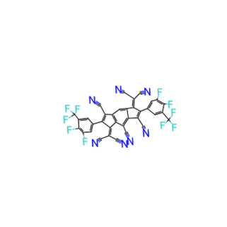 N#CC(C#N)=C1C(c2cc(F)c(F)c(C(F)(F)F)c2)=C(C#N)c2c1cc1c(c2C#N)C(=C(C#N)C#N)C(c2cc(F)c(F)c(C(F)(F)F)c2)=C1C#N